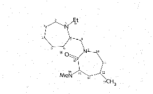 CCN1CCCCCC1CN1CCC(C)CC(NC)C1=O